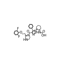 O=C(O)N[C@H]1CCCC[C@@H]1n1cnc(C(=O)N2CCNC[C@H]2CCOc2c(F)cccc2F)c1-c1ccccc1